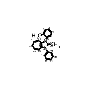 Cc1ccccc1N1C2=C(C=CCC=C2)N(c2ccccc2)[C@@H]1C